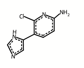 Nc1ccc(-c2cnc[nH]2)c(Cl)n1